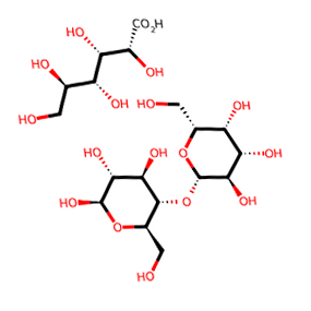 O=C(O)[C@H](O)[C@@H](O)[C@H](O)[C@H](O)CO.OC[C@H]1O[C@@H](O[C@H]2[C@H](O)[C@@H](O)[C@H](O)O[C@@H]2CO)[C@H](O)[C@@H](O)[C@H]1O